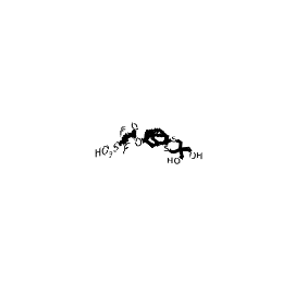 O=C(OC12CC3CC(C1)C1(SCC(CO)(CO)CS1)C(C3)C2)C(F)(F)S(=O)(=O)O